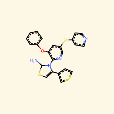 NC1SC=C(c2ccsc2)N1c1ncc(Sc2ccncc2)cc1Oc1ccccc1